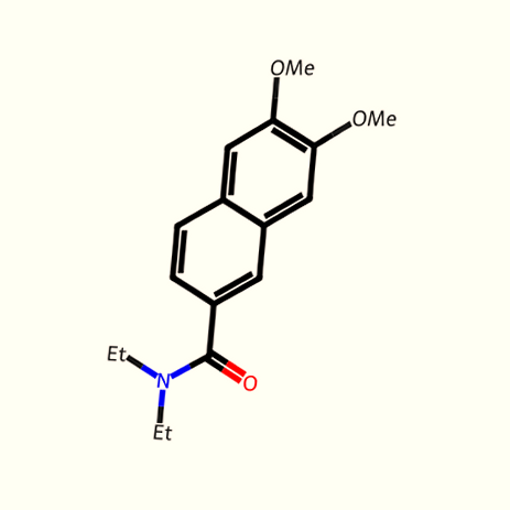 CCN(CC)C(=O)c1ccc2cc(OC)c(OC)cc2c1